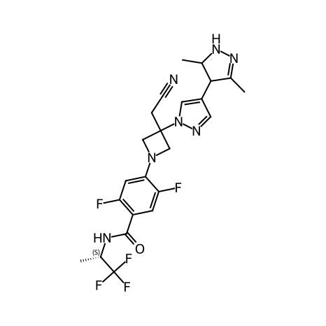 CC1=NNC(C)C1c1cnn(C2(CC#N)CN(c3cc(F)c(C(=O)N[C@@H](C)C(F)(F)F)cc3F)C2)c1